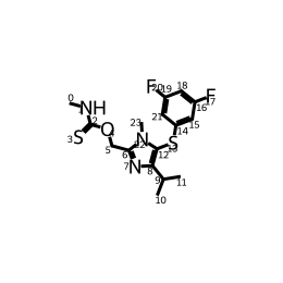 CNC(=S)OCc1nc(C(C)C)c(Sc2cc(F)cc(F)c2)n1C